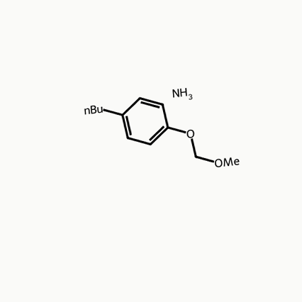 CCCCc1ccc(OCOC)cc1.N